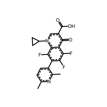 Cc1ccc(-c2c(F)c(F)c3c(=O)c(C(=O)O)cn(C4CC4)c3c2F)c(C)n1